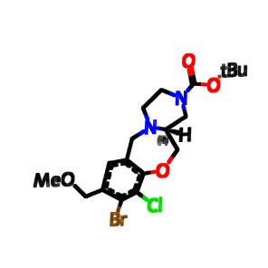 COCc1cc2c(c(Cl)c1Br)OC[C@H]1CN(C(=O)OC(C)(C)C)CCN1C2